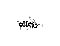 O=C(NCc1c(F)cc(F)cc1F)c1cn2c(c(O)c1=O)C(=O)N1C[C@@H](O)CC[C@H]2C1